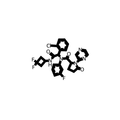 O=C(NC1CC(F)(F)C1)C(c1ccccc1Cl)N(C(=O)C1CCC(=O)N1c1cnccn1)c1cccc(F)c1